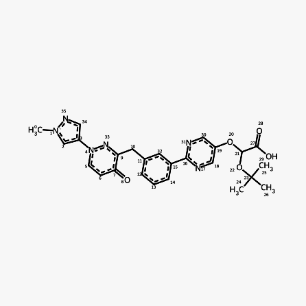 Cn1cc(-n2ccc(=O)c(Cc3cccc(-c4ncc(OC(OC(C)(C)C)C(=O)O)cn4)c3)n2)cn1